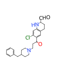 O=CC1CCc2cc(C(=O)CCN3CCC(Cc4ccccc4)CC3)c(Cl)cc2N1